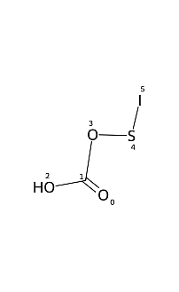 O=C(O)OSI